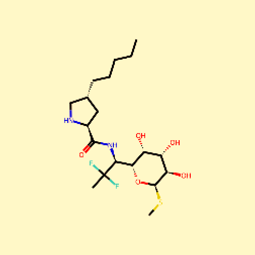 CCCCC[C@H]1CN[C@H](C(=O)N[C@@H]([C@H]2O[C@H](SC)[C@H](O)[C@@H](O)[C@H]2O)C(C)(F)F)C1